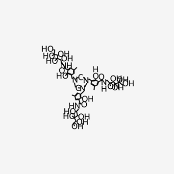 Cc1cc(CN2CCCN(Cc3cc(C)cc(C(=O)NCC(O)C(O)C(O)C(O)CO)c3O)CCN(Cc3cc(C)cc(C(=O)NCC(O)C(O)C(O)C(O)CO)c3O)CCC2)c(O)c(C(=O)NCC(O)C(O)C(O)C(O)CO)c1